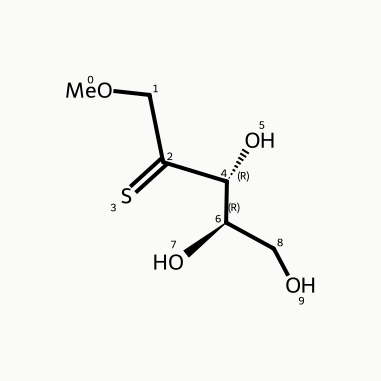 COCC(=S)[C@H](O)[C@H](O)CO